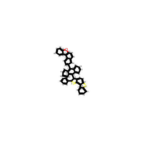 c1ccc(C2Sc3c(ccc4sc5ccccc5c34)C2c2c3ccccc3c(-c3ccc4c(ccc5oc6ccccc6c54)c3)c3ccccc23)cc1